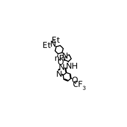 CCC[C@H]1C[C@H](N(CC)CC)CC[C@@H]1N1CC[C@H](Nc2ncnc3ccc(OC(F)(F)F)cc23)C1=O